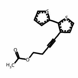 CC(=O)OCCC#Cc1ccsc1-c1cccs1